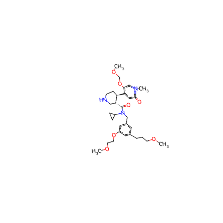 COCCCc1cc(CN(C(=O)[C@@H]2CNCC[C@H]2c2cc(=O)n(C)cc2OCOC)C2CC2)cc(OCCOC)c1